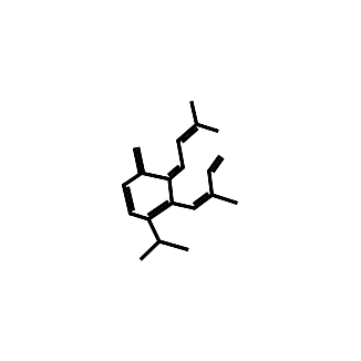 C=C/C(C)=C\c1c(C(C)C)ccc(=C)/c1=C\C=C(C)C